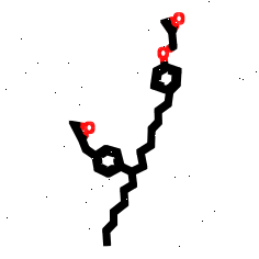 CCCCCCCC(CCCCCCCc1ccc(OCC2CO2)cc1)c1ccc(CC2CO2)cc1